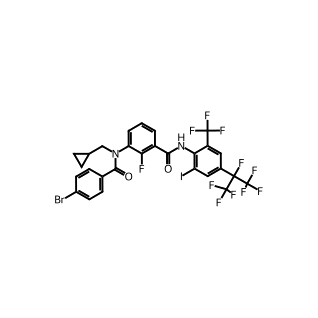 O=C(Nc1c(I)cc(C(F)(C(F)(F)F)C(F)(F)F)cc1C(F)(F)F)c1cccc(N(CC2CC2)C(=O)c2ccc(Br)cc2)c1F